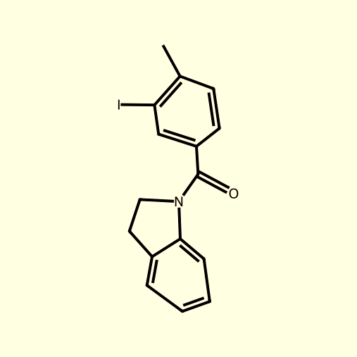 Cc1ccc(C(=O)N2CCc3ccccc32)cc1I